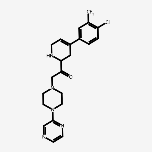 O=C(CN1CCN(c2cnccn2)CC1)C1CC(c2ccc(Cl)c(C(F)(F)F)c2)=CCN1